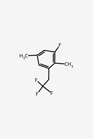 Cc1cc(F)c(C)c(CC(F)(F)F)c1